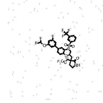 COC(=O)C1(CC2CN(S(=O)(=O)c3cccc(C(F)(F)F)c3)c3cc(-c4cc(F)cc(OC(F)F)c4)ccc3O2)CCNC1=O